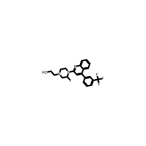 OCCN1CCN(c2cc(-c3cccc(C(F)(F)F)c3)c3ccccc3n2)C(I)C1